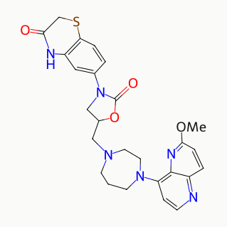 COc1ccc2nccc(N3CCCN(CC4CN(c5ccc6c(c5)NC(=O)CS6)C(=O)O4)CC3)c2n1